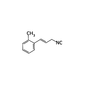 [C-]#[N+]CC=Cc1ccccc1C